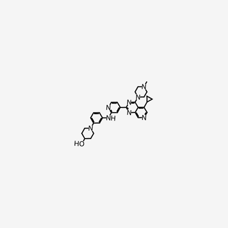 CN1CCN(c2nc(-c3ccnc(Nc4cccc(N5CCC(O)CC5)c4)c3)nc3cncc(C4CC4)c23)CC1